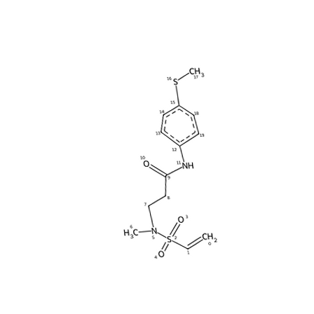 C=CS(=O)(=O)N(C)CCC(=O)Nc1ccc(SC)cc1